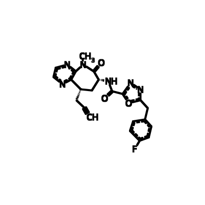 C#CC[C@H]1C[C@@H](NC(=O)c2nnc(Cc3ccc(F)cc3)o2)C(=O)N(C)c2nccnc21